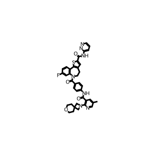 Cc1cnc(N2CC3(CCOCC3)C2)c(C(=O)Nc2ccc(C(=O)N3CCc4cc(C(=O)Nc5cccnn5)sc4-c4ccc(F)cc43)cc2)c1